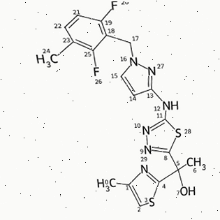 Cc1csc(C(C)(O)c2nnc(Nc3ccn(Cc4c(F)ccc(C)c4F)n3)s2)n1